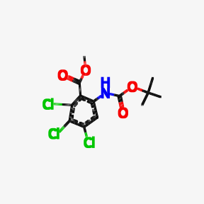 COC(=O)c1c(NC(=O)OC(C)(C)C)cc(Cl)c(Cl)c1Cl